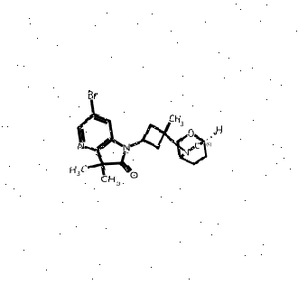 CC1(C)C(=O)N(C2CC(C)(N3C[C@@H]4CCC3CO4)C2)c2cc(Br)cnc21